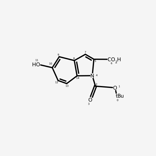 CC(C)(C)OC(=O)n1c(C(=O)O)cc2cc(O)ccc21